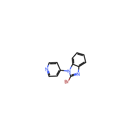 Brc1nc2ccccc2n1-c1ccncc1